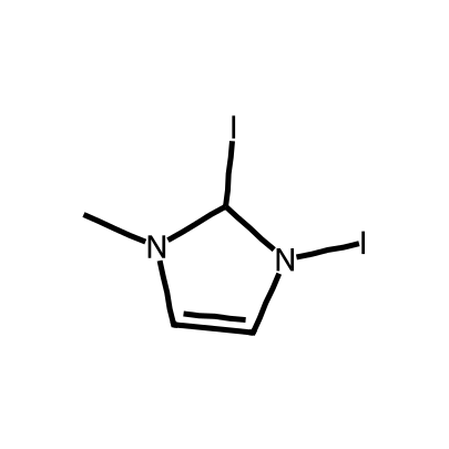 CN1C=CN(I)C1I